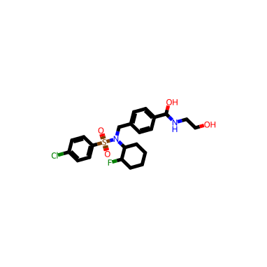 O=S(=O)(c1ccc(Cl)cc1)N(Cc1ccc(C(O)NCCO)cc1)C1CCCCC1F